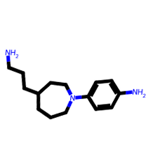 NCCCC1CCCN(c2ccc(N)cc2)CC1